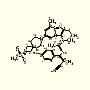 CCc1nc2c(C)cc(N3CCC4(CC3)CN(S(C)(=O)=O)C4)cn2c1N(C)/C(C)=N/C(=C(\C)C#N)c1ccc(F)cc1